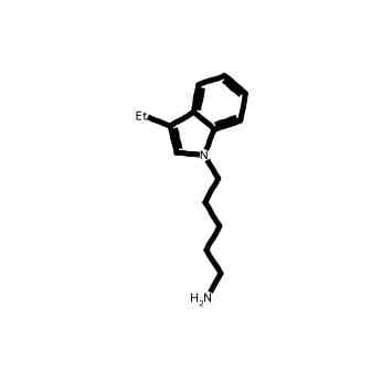 CCc1cn(CCCCCN)c2ccccc12